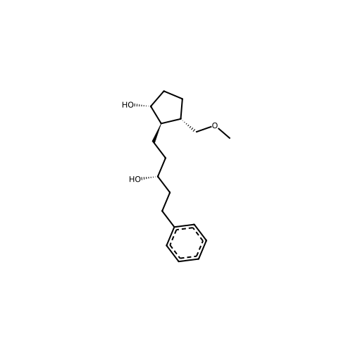 COC[C@H]1CC[C@@H](O)[C@@H]1CC[C@@H](O)CCc1ccccc1